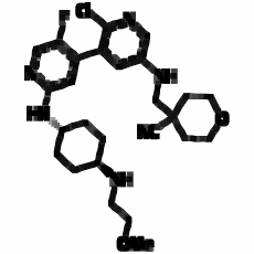 COCCN[C@H]1CC[C@H](Nc2cc(-c3cc(NCC4(C#N)CCOCC4)cnc3Cl)c(F)cn2)CC1